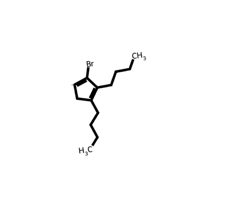 CCCCC1=C(CCCC)C(Br)=[C]C1